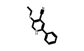 CCSC1=C(C#N)C=C(c2ccccc2)NC1